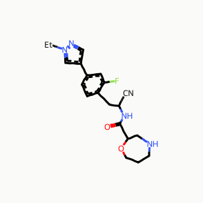 CCn1cc(-c2ccc(CC(C#N)NC(=O)C3CNCCCO3)c(F)c2)cn1